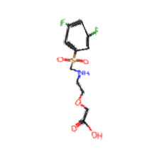 O=C(O)COCCNCS(=O)(=O)c1cc(F)cc(F)c1